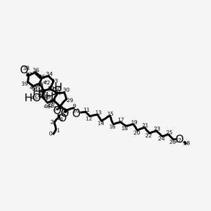 CCCC(=O)O[C@]1(C(=O)COCCCCCCCCCCCCCCCCOC)CC[C@H]2[C@@H]3CCC4=CC(=O)CC[C@]4(C)[C@H]3[C@@H](O)C[C@@]21C